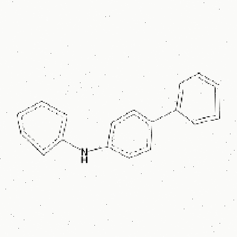 C1=C=CC(c2ccc(Nc3ccccc3)cc2)=CC=1